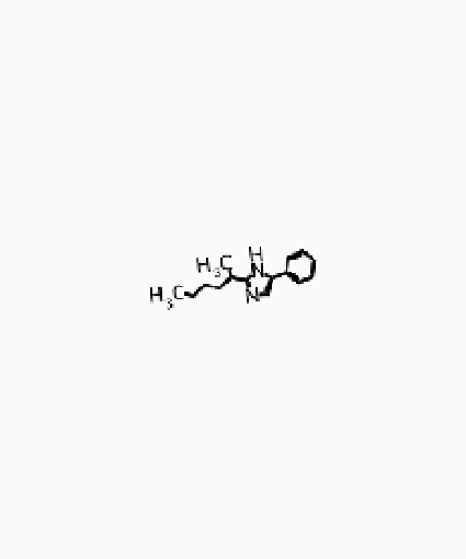 CCCCC(C)c1ncc(-c2ccccc2)[nH]1